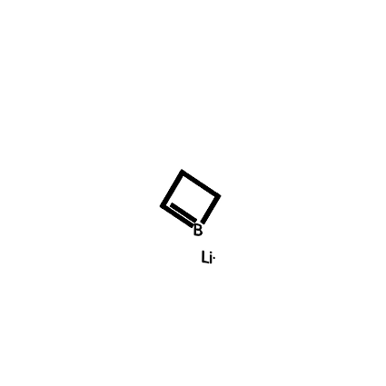 B1=CCC1.[Li]